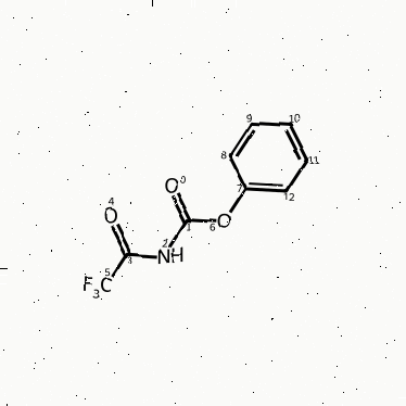 O=C(NC(=O)C(F)(F)F)Oc1[c]cccc1